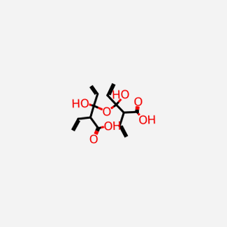 C=CC(C(=O)O)C(O)(C=C)OC(O)(C=C)C(C=C)C(=O)O